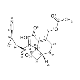 CC(=O)OCC1=C(C(=O)O)[N+]2(NC(=S)[C@H]3C[C@H]3C#N)C(=O)C[C@H]2SC1